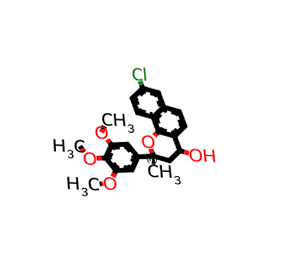 COc1cc([C@@]2(C)CC(O)c3ccc4cc(Cl)ccc4c3O2)cc(OC)c1OC